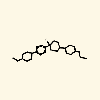 CCCC1CCC(C2CCC(O)(c3ccc(C4CCC(CC)CC4)cc3)CC2)CC1